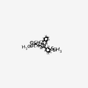 COC(=O)C(C)(C)OCc1cc(-c2cccc(SC)c2)n(Cc2ccccc2Cl)n1